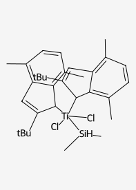 Cc1ccc(C)c2c1C=C(C(C)(C)C)[CH]2[Ti]([Cl])([Cl])([CH]1C(C(C)(C)C)=Cc2c(C)ccc(C)c21)[SiH](C)C